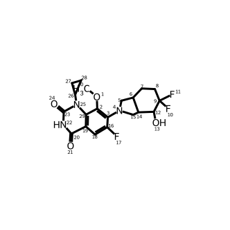 COc1c(N2CC3CCC(F)(F)C(O)C3C2)c(F)cc2c(=O)[nH]c(=O)n(C3CC3)c12